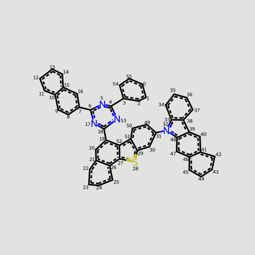 c1ccc(-c2nc(-c3ccc4ccccc4c3)nc(-c3cc4ccccc4c4sc5cc(-n6c7ccccc7c7cc8ccccc8cc76)ccc5c34)n2)cc1